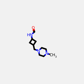 CN1CCN(CC2CC(NC=O)C2)CC1